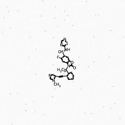 C[C@H](c1ccccc1C#Cc1cncn1C)n1c(=O)oc2cc([S+]([O-])Nc3ncns3)c(F)cc21